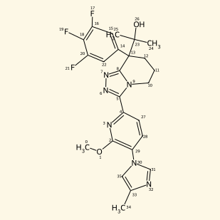 COc1nc(-c2nnc3n2CCCC3(c2cc(F)c(F)c(F)c2)C(C)(C)O)ccc1-n1cnc(C)c1